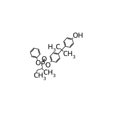 CCC(C)P(=O)(Oc1ccccc1)Oc1ccc(C(C)(C)c2ccc(O)cc2)cc1